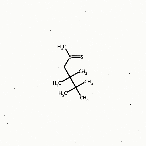 CS(=S)CC(C)(C)C(C)(C)C